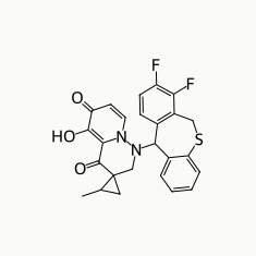 CC1CC12CN(C1c3ccccc3SCc3c1ccc(F)c3F)n1ccc(=O)c(O)c1C2=O